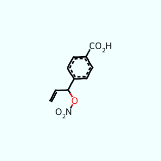 C=CC(O[N+](=O)[O-])c1ccc(C(=O)O)cc1